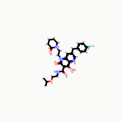 CC(C)OCCNC(=O)c1c(O)c2ncc(Cc3ccc(F)cc3)cc2n(CCN2CCCCC2=O)c1=O